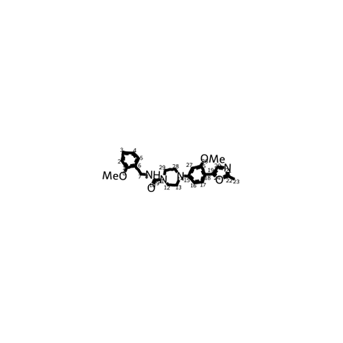 COc1ccccc1CNC(=O)N1CCN(c2ccc(-c3cnc(C)o3)c(OC)c2)CC1